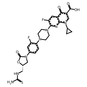 NC(=S)NC[C@H]1CN(c2ccc(N3CCN(c4nc5c(cc4F)c(=O)c(C(=O)O)cn5C4CC4)CC3)c(F)c2)C(=O)O1